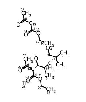 CC(C)C[O-].CC(C)C[O-].CCOC(=O)[CH-]C(C)=O.CCOC(=O)[CH-]C(C)=O.[Ti+4]